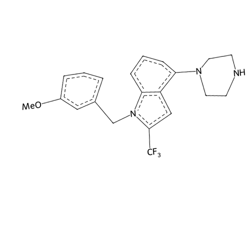 COc1cccc(Cn2c(C(F)(F)F)cc3c(N4CCNCC4)cccc32)c1